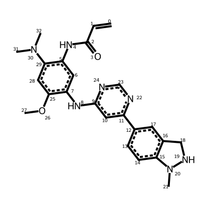 C=CC(=O)Nc1cc(Nc2cc(-c3ccc4c(c3)CNN4C)ncn2)c(OC)cc1N(C)C